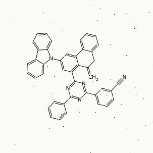 C=C1Cc2ccccc2-c2cc(-n3c4ccccc4c4ccccc43)cc(-c3nc(-c4ccccc4)nc(-c4cccc(C#N)c4)n3)c21